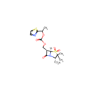 CC(OC(=O)OCC1C(=O)N2[C@@H](C(=O)O)C(C)(C)S(=O)(=O)[C@H]12)c1nccs1